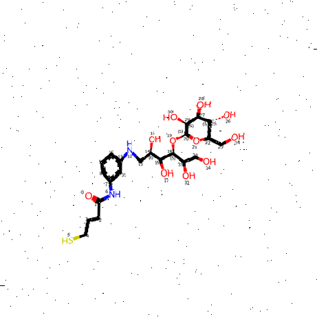 O=C(CCCS)Nc1cccc(NC[C@@H](O)C(O)[C@@H](O[C@@H]2OC(CO)[C@@H](O)C(O)[C@@H]2O)C(O)CO)c1